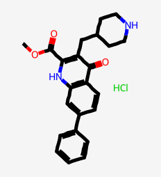 COC(=O)c1[nH]c2cc(-c3ccccc3)ccc2c(=O)c1CC1CCNCC1.Cl